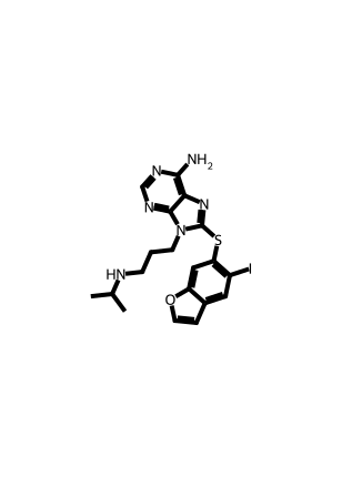 CC(C)NCCCn1c(Sc2cc3occc3cc2I)nc2c(N)ncnc21